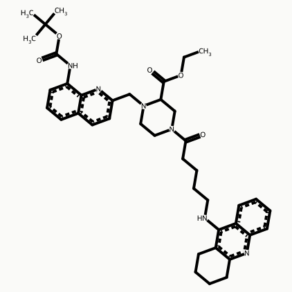 CCOC(=O)C1CN(C(=O)CCCCNc2c3c(nc4ccccc24)CCCC3)CCN1Cc1ccc2cccc(NC(=O)OC(C)(C)C)c2n1